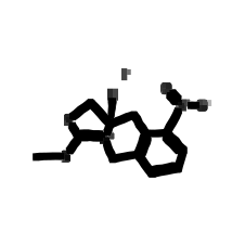 CSC1=[N+]2Cc3cccc([N+](=O)[O-])c3C[C@H]2CS1.[I-]